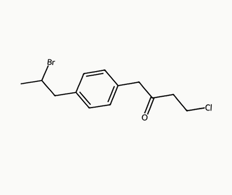 CC(Br)Cc1ccc(CC(=O)CCCl)cc1